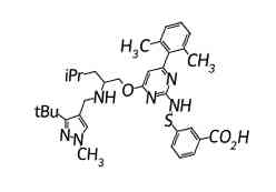 Cc1cccc(C)c1-c1cc(OCC(CC(C)C)NCc2cn(C)nc2C(C)(C)C)nc(NSc2cccc(C(=O)O)c2)n1